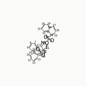 O=S(=O)(ON=C(c1ccccc1)C(F)(F)S(=O)(=O)c1ccccc1)c1cccc2ccccc12